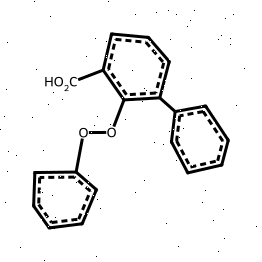 O=C(O)c1cccc(-c2ccccc2)c1OOc1ccccc1